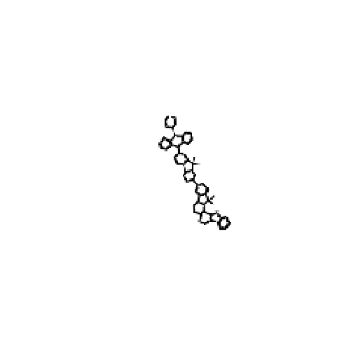 CC1(C)c2cc(-c3ccc4c(c3)-c3ccc5ccc6c7ccccc7sc6c5c3C4(C)C)ccc2-c2ccc(-c3c4ccccc4c(-c4ccccc4)c4ccccc34)cc21